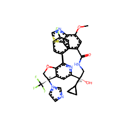 COc1cc(C(=O)NC[C@](O)(c2cc3c(c(-c4ccc(F)cc4)n2)OC[C@@]3(n2ccnc2)C(F)(F)F)C2CC2)cc2scnc12